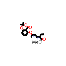 C=C/C(=C\C=C(/C)Oc1cccc2c1C(=O)OC(C)(C)O2)C(=O)OC